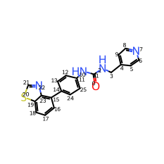 O=C(NCc1ccncc1)Nc1ccc(-c2cccc3scnc23)cc1